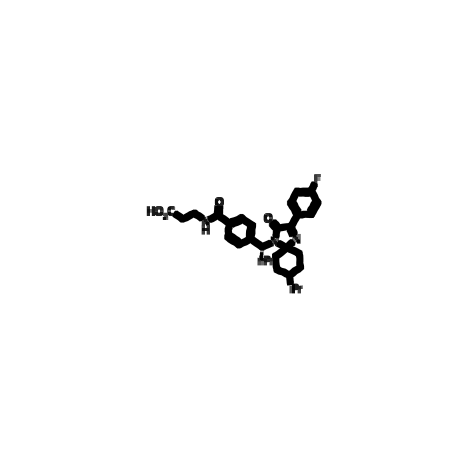 CCC[C@H](c1ccc(C(=O)NCCC(=O)O)cc1)N1C(=O)C(c2ccc(F)cc2)=NC12CCC(C(C)C)CC2